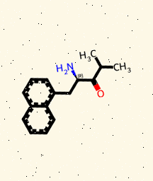 CC(C)C(=O)[C@H](N)Cc1cccc2ccccc12